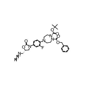 CC(C)(C)OC(=O)N1CCN(c2ccc(N3C[C@H](CN=[N+]=[N-])OC3=O)cc2F)CCN1C(=O)OCc1ccccc1